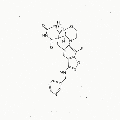 C[C@@H]1OCCN2c3c(cc4c(NCc5cccnc5)noc4c3F)CC3(C(=O)NC(=O)NC3=O)[C@@H]12